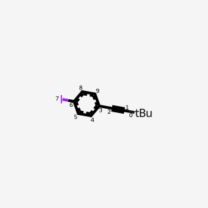 CC(C)(C)C#Cc1ccc(I)cc1